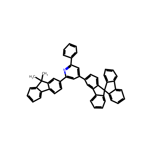 CC1(C)c2ccccc2-c2ccc(-c3cc(-c4ccc5c(c4)-c4ccccc4C54c5ccccc5-c5ccccc54)cc(-c4ccccc4)n3)cc21